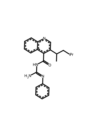 CC(C)CC(C)c1cnc2ccccc2c1C(=O)NC(N)=Nc1ccccc1